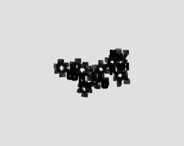 Cc1cc(F)c(Nc2nc(-c3ccc(C(C)(CCCC4CCN(C(=O)C5CCCCC5)C4)CCNC=O)c(N(C=O)C4CC(N5CCCCC5)C4)c3)cc3ncn(C(C)C)c23)cc1C